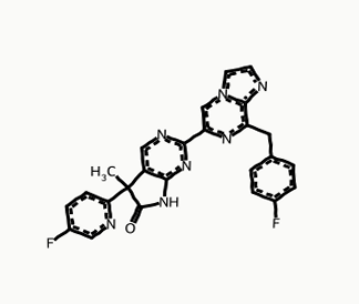 CC1(c2ccc(F)cn2)C(=O)Nc2nc(-c3cn4ccnc4c(Cc4ccc(F)cc4)n3)ncc21